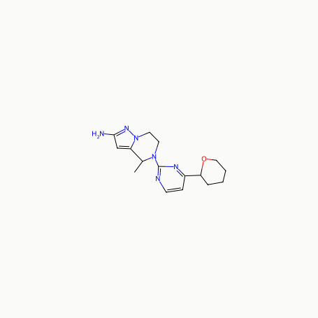 CC1c2cc(N)nn2CCN1c1nccc(C2CCCCO2)n1